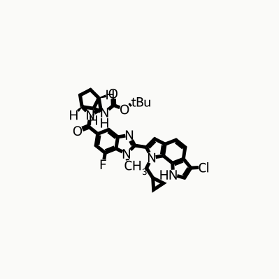 Cn1c(-c2cc3ccc4c(Cl)c[nH]c4c3n2CC2CC2)nc2cc(C(=O)N3C[C@H]4CC[C@@H]3[C@@H]4NC(=O)OC(C)(C)C)cc(F)c21